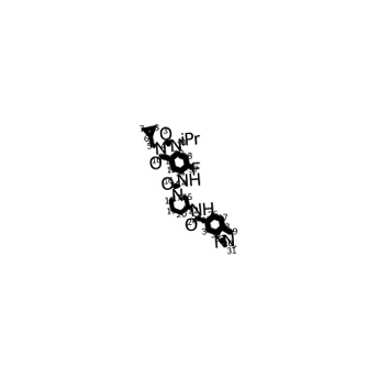 CC(C)n1c(=O)n(CC2CC2)c(=O)c2cc(NC(=O)N3CCCC(NC(=O)c4ccc5cn(C)nc5c4)C3)c(F)cc21